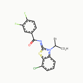 CCC(C(=O)O)n1/c(=N/C(=O)c2ccc(F)c(F)c2)sc2c(Cl)cccc21